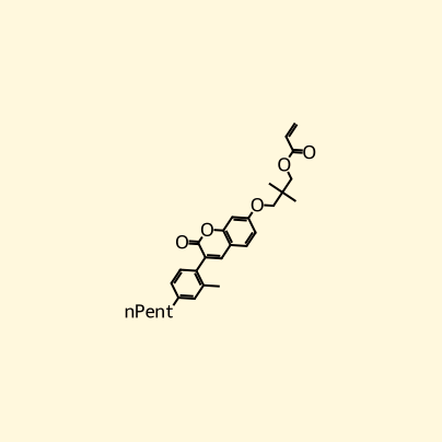 C=CC(=O)OCC(C)(C)COc1ccc2cc(-c3ccc(CCCCC)cc3C)c(=O)oc2c1